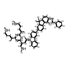 CB/C=C\C=C(/C)c1nc(/C(C)=C/C=C\BC)nc(C(=C/BC)/C=C(\C)n2c3ccccc3c3cc(-c4ccc5c(c4)C(C)(C)c4ccc6nc(-c7ccccc7)oc6c4-5)ccc32)n1